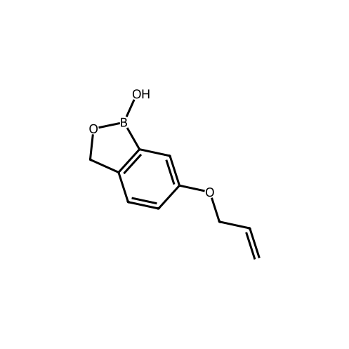 C=CCOc1ccc2c(c1)B(O)OC2